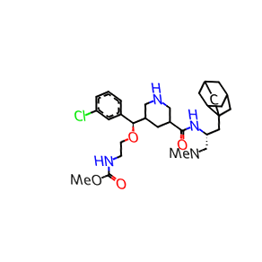 CNC[C@@H](CC12CC3CC(CC1C3)C2)NC(=O)C1CNCC([C@@H](OCCNC(=O)OC)c2cccc(Cl)c2)C1